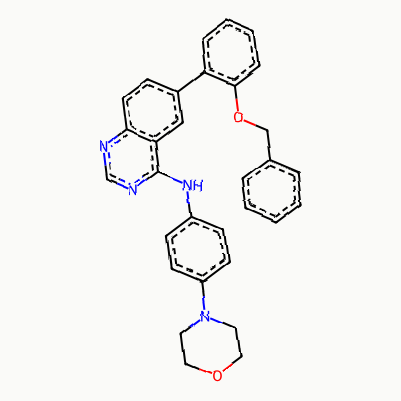 c1ccc(COc2ccccc2-c2ccc3ncnc(Nc4ccc(N5CCOCC5)cc4)c3c2)cc1